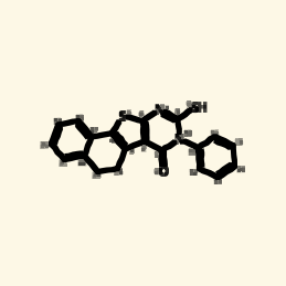 O=c1c2c3c(sc2nc(S)n1-c1ccccc1)-c1ccccc1CC3